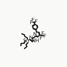 CCC[CH2][Sn]([CH2]CCC)([CH2]CCC)[c]1c[nH]c(-c2cc(C(F)(F)F)cc(-c3ccc(C(F)(F)F)cc3)n2)n1